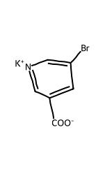 O=C([O-])c1cncc(Br)c1.[K+]